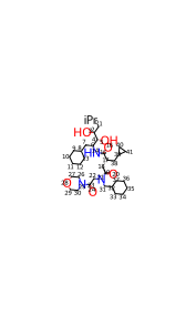 CC(C)C[C@H](O)[C@H](O)[C@H](CC1CCCCC1)NC(=O)[C@@H](CC(=O)N(CC(=O)N1CCOCC1)CC1CCCCC1)CC1CC1